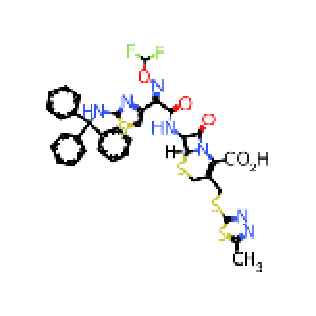 Cc1nnc(SCC2=C(C(=O)O)N3C(=O)C(NC(=O)/C(=N/OC(F)F)c4csc(NC(c5ccccc5)(c5ccccc5)c5ccccc5)n4)[C@H]3SC2)s1